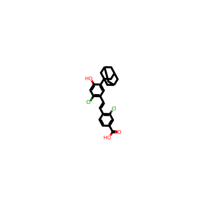 O=C(O)c1ccc(/C=C/c2cc(C34CC5CC(CC(C5)C3)C4)c(O)cc2Cl)c(Cl)c1